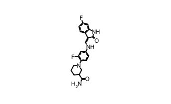 NC(=O)C1CCCN(c2ccc(NC=C3C(=O)Nc4cc(F)ccc43)cc2F)C1